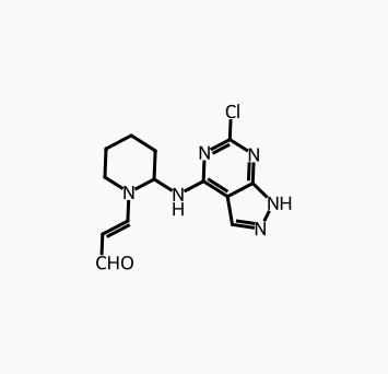 O=CC=CN1CCCCC1Nc1nc(Cl)nc2[nH]ncc12